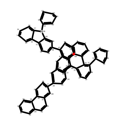 c1ccc(-c2ccccc2-c2c(-c3ccccc3)cccc2N(c2ccc(-c3ccc4c(ccc5ccccc54)c3)cc2)c2cccc(-c3ccc4c5ccccc5n(-c5ccccc5)c4c3)c2)cc1